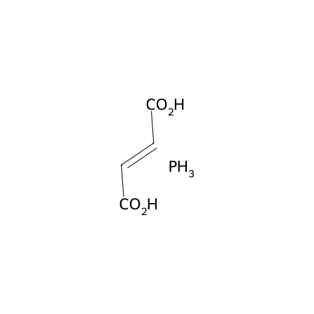 O=C(O)C=CC(=O)O.P